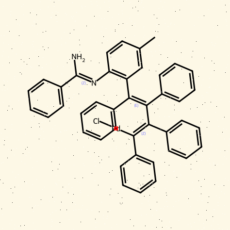 Cc1ccc(/N=C(\N)c2ccccc2)c(/C(=C(/C(=[C](\[Pd][Cl])c2ccccc2)c2ccccc2)c2ccccc2)c2ccccc2)c1